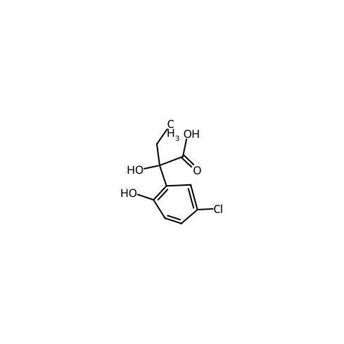 CCC(O)(C(=O)O)c1cc(Cl)ccc1O